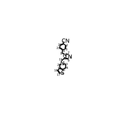 N#Cc1ccc(Cn2cncc2CN2CCc3sccc3C2)cc1